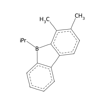 Cc1ccc2c(c1C)B(C(C)C)c1ccccc1-2